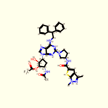 CCC(=O)N[C@H]1C[C@@H](n2cnc3c(NCC(c4ccccc4)c4ccccc4)nc(N4CC[C@@H](NC(=O)c5cc6c(C)nn(C)c6s5)C4)nc32)[C@H](O)[C@@H]1OC(=O)C(F)(F)F